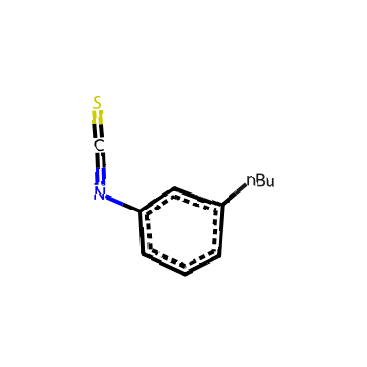 CCCCc1cccc(N=C=S)c1